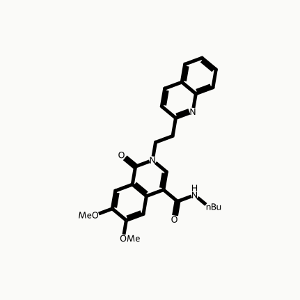 CCCCNC(=O)c1cn(CCc2ccc3ccccc3n2)c(=O)c2cc(OC)c(OC)cc12